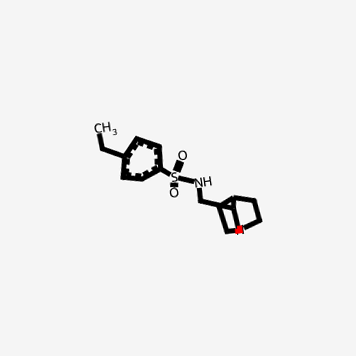 CCc1ccc(S(=O)(=O)NCC2CN3CCC2CC3)cc1